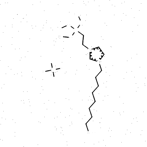 CCCCCCCCCCCCCCCCCC[n+]1ccn(CC[Si](OCC)(OCC)OCC)c1.F[B-](F)(F)F